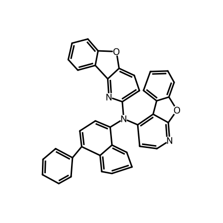 c1ccc(-c2ccc(N(c3ccc4oc5ccccc5c4n3)c3ccnc4oc5ccccc5c34)c3ccccc23)cc1